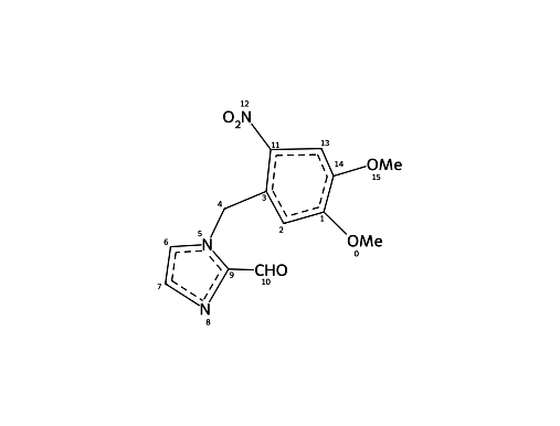 COc1cc(Cn2ccnc2C=O)c([N+](=O)[O-])cc1OC